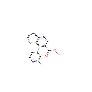 CCOC(=O)c1cnc2ccccc2c1-c1ccnc(C)c1